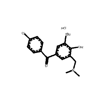 CN(C)Cc1cc(C(=O)c2ccc(Cl)cc2)cc(C(C)(C)C)c1O.Cl